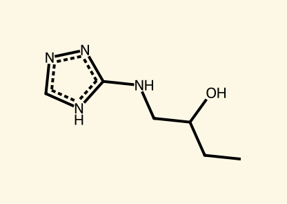 CCC(O)CNc1nnc[nH]1